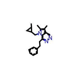 Cc1c(C)n(CC2CC2C)c2c(CCc3ccccc3)nncc12